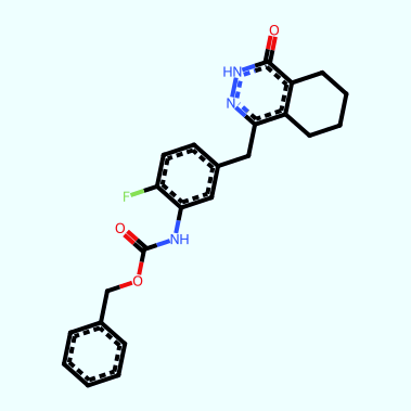 O=C(Nc1cc(Cc2n[nH]c(=O)c3c2CCCC3)ccc1F)OCc1ccccc1